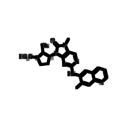 Cc1cc2ncccc2cc1Nc1ncc2c(n1)n([C@H]1CCN(C(=O)O)C1C(C)(C)C)c(=O)n2C